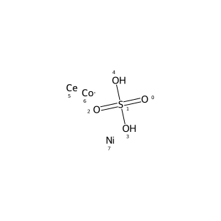 O=S(=O)(O)O.[Ce].[Co].[Ni]